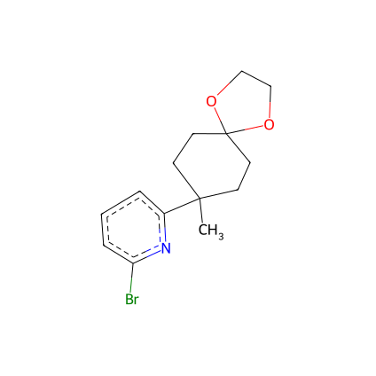 CC1(c2cccc(Br)n2)CCC2(CC1)OCCO2